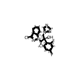 C[C@@H](n1nc(Cl)c2ccccc21)[C@](O)(Cn1cncn1)c1ccc(F)cc1F